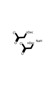 CCCCCCCCCCCC(=O)Cl.CCCCCCCCCCCC(=O)Cl.[NaH]